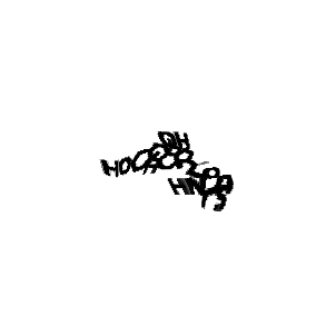 CC(NC(=O)C[C@@H](C)C1CC[C@H]2C3[C@H](O)CC4C[C@H](O)CCC4(C)[C@H]3CCC12C)c1cccs1